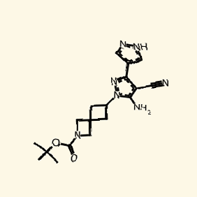 CC(C)(C)OC(=O)N1CC2(CC(n3nc(-c4cn[nH]c4)c(C#N)c3N)C2)C1